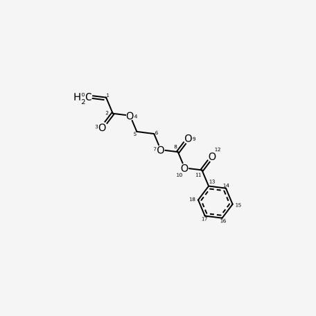 C=CC(=O)OCCOC(=O)OC(=O)c1ccccc1